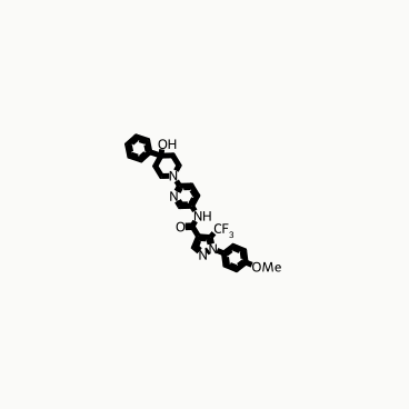 COc1ccc(-n2ncc(C(=O)Nc3ccc(N4CCC(O)(c5ccccc5)CC4)nc3)c2C(F)(F)F)cc1